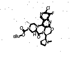 C[C@@H]1CN2c3c4c(nc5c(F)c(Cl)ncc35)OC[C@@H]([C@@H]3CCCN3C)N4C(=O)[C@H]2CN1C(=O)OC(C)(C)C